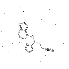 CNCC[C@@H](Oc1cccc2occc12)c1cccs1